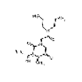 CCCN(CCC)C(=O)CN1CC(=O)N(C)[C@@H]([C@@H](C)O)C1=O